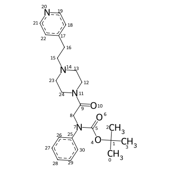 CC(C)(C)OC(=O)N(CC(=O)N1CCN(CCc2ccncc2)CC1)c1ccccc1